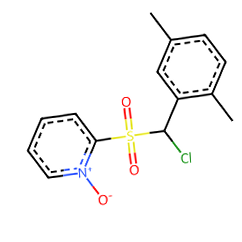 Cc1ccc(C)c(C(Cl)S(=O)(=O)c2cccc[n+]2[O-])c1